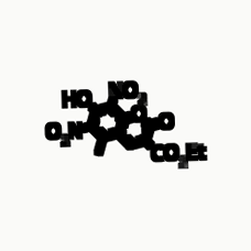 CCOC(=O)c1cc2c(C)c([N+](=O)[O-])c(O)c([N+](=O)[O-])c2oc1=O